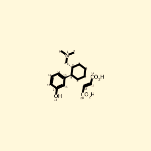 CN(C)C[C@@H]1CCCC[C@H]1c1cccc(O)c1.O=C(O)/C=C/C(=O)O